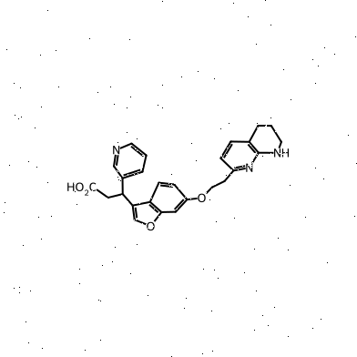 O=C(O)CC(c1cccnc1)c1coc2cc(OCCc3ccc4c(n3)NCCC4)ccc12